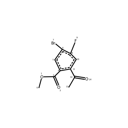 COC(=O)c1cc(Br)c(F)cc1C(C)=O